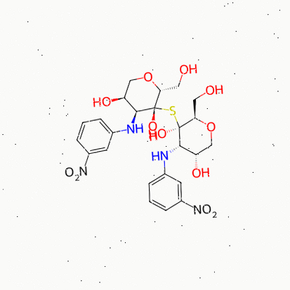 O=[N+]([O-])c1cccc(N[C@H]2[C@@H](O)CO[C@H](CO)[C@]2(O)S[C@@]2(O)[C@@H](CO)OC[C@H](O)[C@@H]2Nc2cccc([N+](=O)[O-])c2)c1